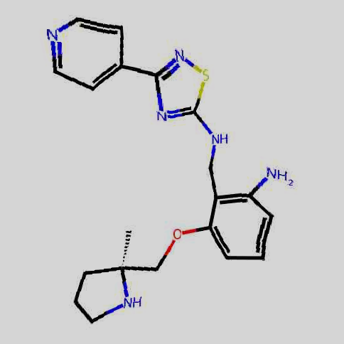 C[C@@]1(COc2cccc(N)c2CNc2nc(-c3ccncc3)ns2)CCCN1